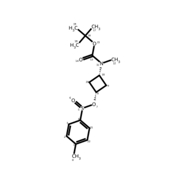 Cc1ccc(S(=O)O[C@H]2C[C@@H](N(C)C(=O)OC(C)(C)C)C2)cc1